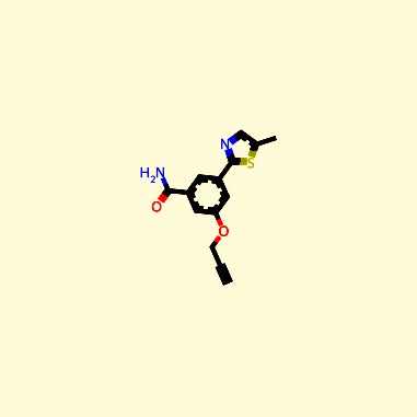 C#CCOc1cc(C(N)=O)cc(-c2ncc(C)s2)c1